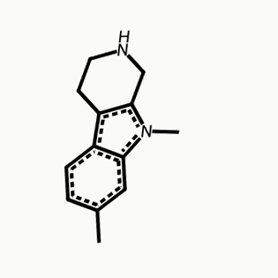 Cc1ccc2c3c(n(C)c2c1)CNCC3